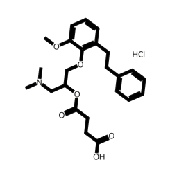 COc1cccc(CCc2ccccc2)c1OCC(CN(C)C)OC(=O)CCC(=O)O.Cl